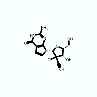 C#CC1(Cl)[C@@H](O)[C@@H](CO)O[C@H]1n1ccc2c(=O)[nH]c(N)nc21